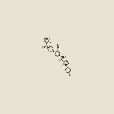 Cc1oncc1C(=O)N1CCN(c2ccc(NC(=O)c3cnn(-c4ccc(F)cc4)c3C)cc2C#N)CC1